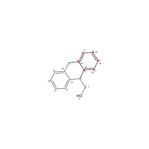 OSC12c3ccccc3C(c3ccccc31)c1ccccc12